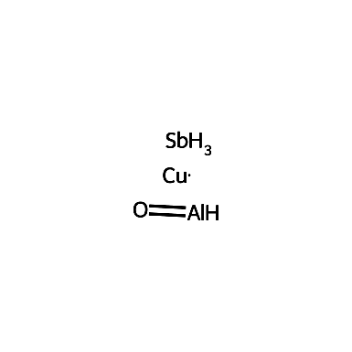 [Cu].[O]=[AlH].[SbH3]